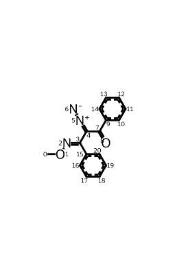 CO/N=C(/C(=[N+]=[N-])C(=O)c1ccccc1)c1ccccc1